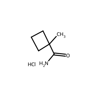 CC1(C(N)=O)CCC1.Cl